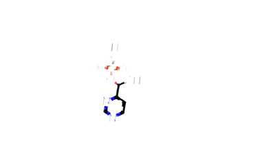 CC(OS(C)(=O)=O)c1ccncn1